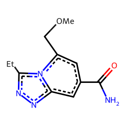 CCc1nnc2cc(C(N)=O)cc(COC)n12